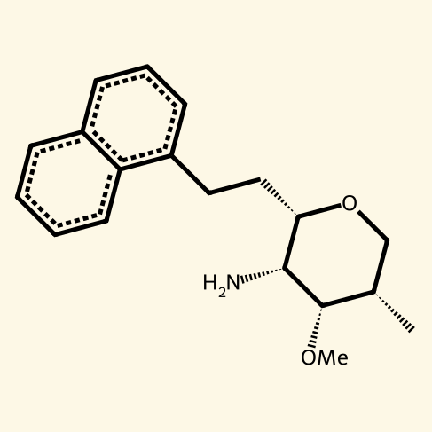 CO[C@@H]1[C@H](N)[C@H](CCc2cccc3ccccc23)OC[C@@H]1C